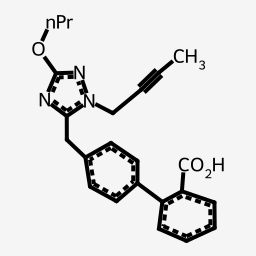 CC#CCn1nc(OCCC)nc1Cc1ccc(-c2ccccc2C(=O)O)cc1